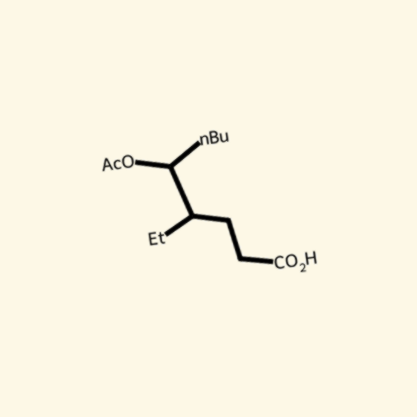 CCCCC(OC(C)=O)C(CC)CCC(=O)O